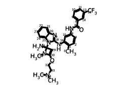 Cc1ccc(NC(=O)c2cccc(C(F)(F)F)c2)cc1Nc1nc2ccccc2n1C1(N)C=C(OCCN(C)C)N1C